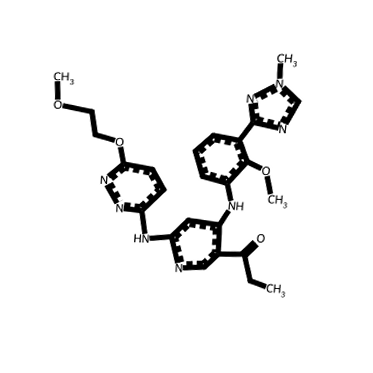 CCC(=O)c1cnc(Nc2ccc(OCCOC)nn2)cc1Nc1cccc(-c2ncn(C)n2)c1OC